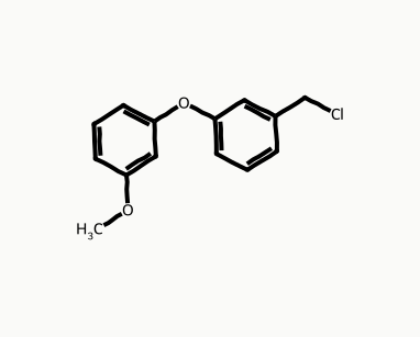 COc1cccc(Oc2cccc(CCl)c2)c1